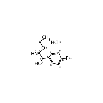 CCOC(=N)C(O)c1ccc(F)cc1.Cl